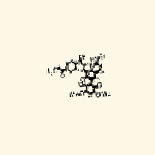 C=CC(=O)N1CCC(N(CC)CCn2c(=O)c(-c3c(Cl)c(OC)cc(OC)c3Cl)cc3cnc(NCC)nc32)CC1